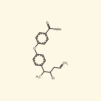 C=CCC(CC)C(C)c1ccc(Oc2ccc(C(=O)NC)cc2)cc1